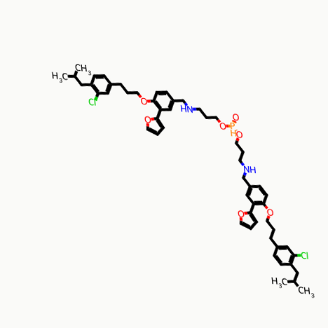 CC(C)Cc1ccc(CCCOc2ccc(CNCCCO[PH](=O)OCCCNCc3ccc(OCCCc4ccc(CC(C)C)c(Cl)c4)c(-c4ccco4)c3)cc2-c2ccco2)cc1Cl